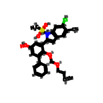 COCCOCOc1c(-c2ccccc2)cc(O)cc1-c1cc2cc(C#N)c(Cl)cc2n1S(C)(=O)=O